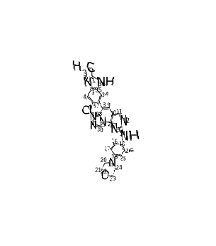 Cc1nc2cc(Cl)c(-c3cc4cnc(Nc5ccc(N6CCOCC6)cc5)nc4n4cnnc34)cc2[nH]1